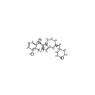 Fc1c(Cl)cccc1Nc1ncc2n1CCCN(CC1CCOCC1)C2